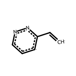 [CH]=Cc1[c]ccnn1